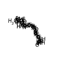 CCN(C)S(=O)(=O)Nc1ccc(F)c(C(=O)c2c[nH]c3ncc(-c4ccc(CN5CCN(C(=O)CN6CCC(c7ccc(NC8CCC(=O)NC8=O)cc7)CC6)CC5)cc4)cc23)c1F